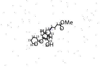 COC(=O)CC/C=C1/C[C@H]2C[C@@H](OC3CCCCO3)[C@H](CO)[C@H]2C1